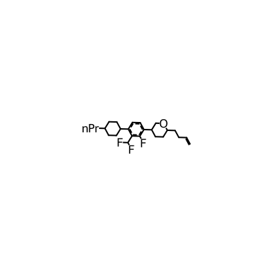 C=CCCC1CCC(c2ccc(C3CCC(CCC)CC3)c(C(F)F)c2F)CO1